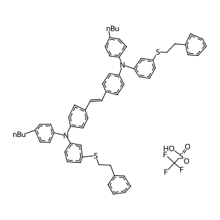 CCCCc1ccc(N(c2ccc(C=Cc3ccc(N(c4ccc(CCCC)cc4)c4cccc(SCCc5ccccc5)c4)cc3)cc2)c2cccc(SCCc3ccccc3)c2)cc1.O=S(=O)(O)C(F)(F)F